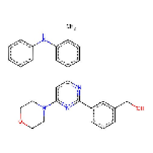 Cc1ccc(-c2cc(N3CCOCC3)nc(-c3cccc(CO)c3)n2)cc1Nc1ccccc1